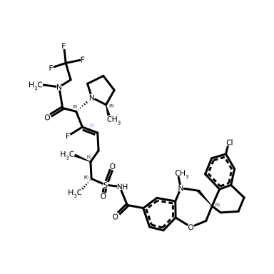 C[C@@H]1CCCN1[C@@H](C(=O)N(C)CC(F)(F)F)/C(F)=C/C[C@H](C)[C@@H](C)S(=O)(=O)NC(=O)c1ccc2c(c1)N(C)C[C@@]1(CCCc3cc(Cl)ccc31)CO2